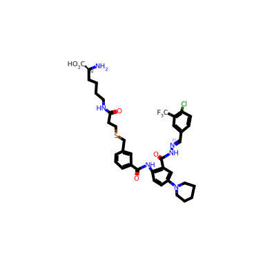 N[C@@H](CCCCNC(=O)CCSCc1cccc(C(=O)Nc2ccc(N3CCCCC3)cc2C(=O)N/N=C/c2ccc(Cl)c(C(F)(F)F)c2)c1)C(=O)O